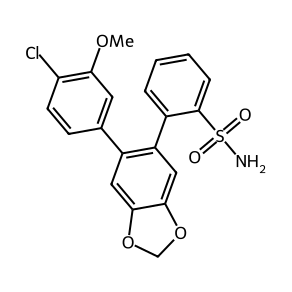 COc1cc(-c2cc3c(cc2-c2ccccc2S(N)(=O)=O)OCO3)ccc1Cl